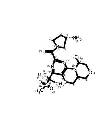 CC1COCC2COc3c(nc(C(=O)N4CC[C@H](N)C4)nc3C(C)(C)S(C)(=O)=O)N12